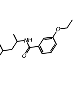 CCOc1cccc(C(=O)NC(C)CC(C)C)c1